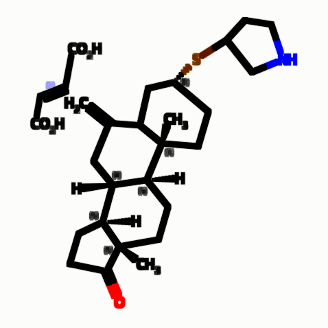 C=C1C[C@@H]2[C@H](CC[C@]3(C)C(=O)CC[C@@H]23)[C@@]2(C)CC[C@@H](SC3CCNC3)CC12.O=C(O)/C=C/C(=O)O